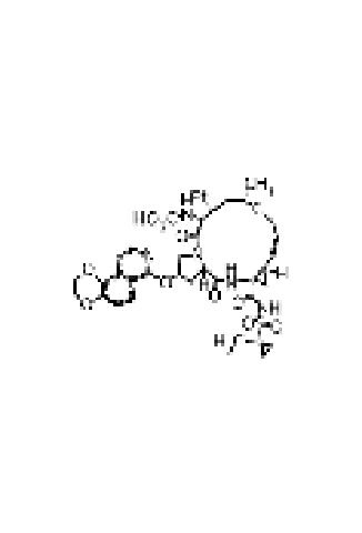 CC[C@@H]1C[C@H](C)CCC=C[C@@H]2C[C@@]2(C(=O)NS(=O)(=O)C2(C)CC2)NC(=O)[C@@H]2C[C@@H](Oc3nccc4c5c(ccc34)OCCO5)CN2C(=O)[C@H]1NC(=O)O